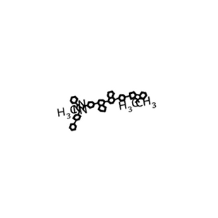 CN1C(c2ccccc2)=NC(c2ccc(-c3ccc(-c4ccc(-c5ccc(-c6ccc7c(c6)C(C)(C)c6ccccc6-7)cc5)c5ccccc45)c4ccccc34)cc2)=NC1c1ccc(-c2ccccc2)cc1